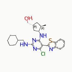 C[C@@H]1C[C@@H](CO)CC1Nc1nc(NCC2CCCCC2)nc(Cl)c1-c1nc2ccccc2s1